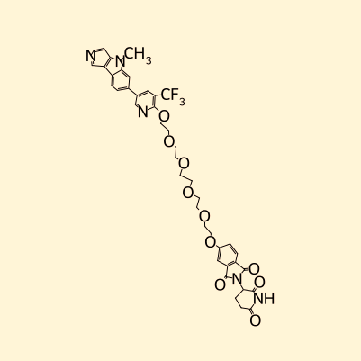 Cn1c2ccncc2c2ccc(-c3cnc(OCCOCCOCCOCCOCCOc4ccc5c(c4)C(=O)N(C4CCC(=O)NC4=O)C5=O)c(C(F)(F)F)c3)cc21